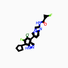 O=C(Nc1cn2cc(-c3c(Cl)c(F)c(C4CCCC4)c4[nH]ncc34)ccc2n1)C1CC1F